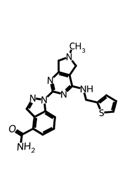 CN1Cc2nc(-n3ncc4c(C(N)=O)cccc43)nc(NCc3cccs3)c2C1